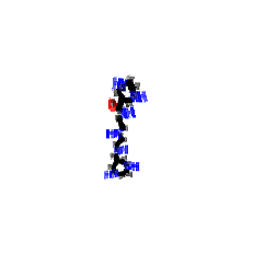 O=C(NCCNCCNCC1CNCCNC1)C1CNCCNC1